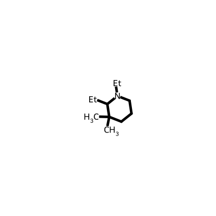 CCC1N(CC)CCCC1(C)C